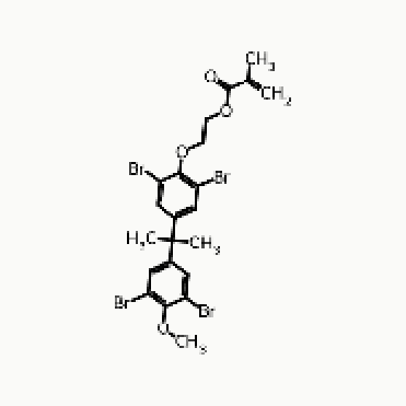 C=C(C)C(=O)OCCOc1c(Br)cc(C(C)(C)c2cc(Br)c(OC)c(Br)c2)cc1Br